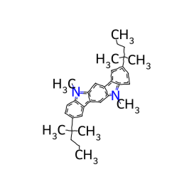 CCCC(C)(C)c1ccc2c(c1)c1cc3c(cc1n2C)c1cc(C(C)(C)CCC)ccc1n3C